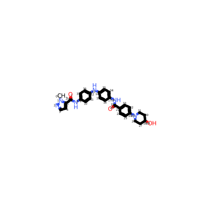 Cn1nccc1C(=O)Nc1ccc(Nc2ccc(NC(=O)c3ccc(N4CCC(O)CC4)cc3)cc2)cc1